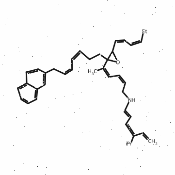 C=C/C(=C\C=C\NC/C=C\C=C(\C)C1(CC/C=C\C=C/Cc2ccc3ccccc3c2)OC1/C=C\C=C/CC)C(C)C